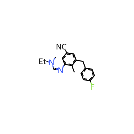 CCN(C)/C=N\c1cc(C#N)cc(Cc2ccc(F)cc2)c1C